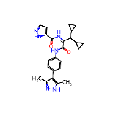 Cc1n[nH]c(C)c1-c1ccc(NC(=O)[C@@H](NC(=O)c2ccn[nH]2)C(C2CC2)C2CC2)cc1